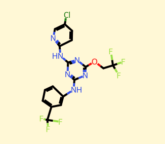 FC(F)(F)COc1nc(Nc2cccc(C(F)(F)F)c2)nc(Nc2ccc(Cl)cn2)n1